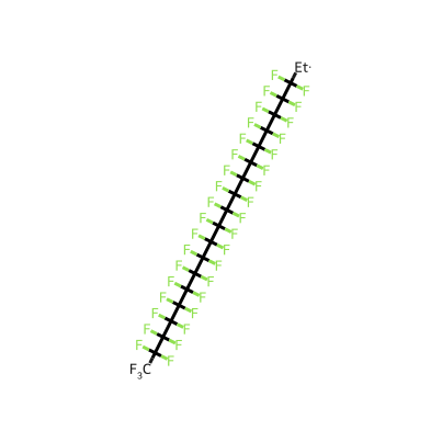 C[CH]C(F)(F)C(F)(F)C(F)(F)C(F)(F)C(F)(F)C(F)(F)C(F)(F)C(F)(F)C(F)(F)C(F)(F)C(F)(F)C(F)(F)C(F)(F)C(F)(F)C(F)(F)C(F)(F)C(F)(F)C(F)(F)C(F)(F)F